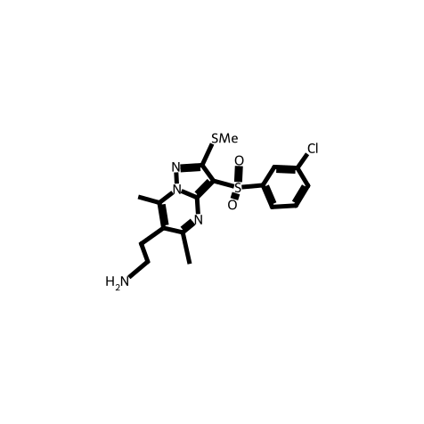 CSc1nn2c(C)c(CCN)c(C)nc2c1S(=O)(=O)c1cccc(Cl)c1